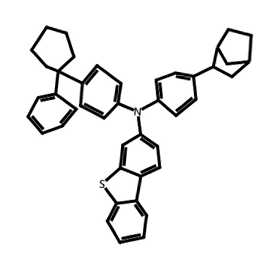 c1ccc(C2(c3ccc(N(c4ccc(C5CC6CCC5C6)cc4)c4ccc5c(c4)sc4ccccc45)cc3)CCCCC2)cc1